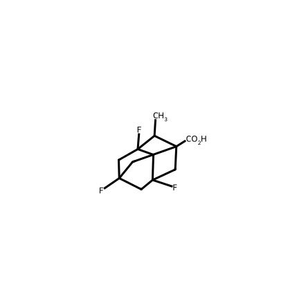 CC1C2(F)CC3(F)CC(F)(C2)CC1(C(=O)O)C3